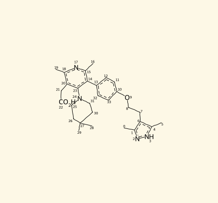 Cc1n[nH]c(C)c1CCOc1ccc(-c2c(C)nc(C)c(CC(=O)O)c2N2CCC(C)(C)CC2)cc1